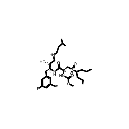 CCCC(CCC)S(=O)(=O)C[C@@H](NC(=O)OC)C(=O)N[C@@H](Cc1cc(F)cc(F)c1)[C@H](O)CNCCC(C)C